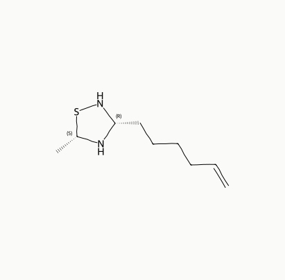 C=CCCCC[C@H]1NS[C@@H](C)N1